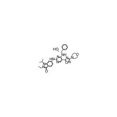 CCn1c(=O)c2ccc(Nc3ncc(-c4nc(N5CCOCC5)no4)c(N[C@H](CO)c4ccccc4)n3)cc2n1C(C)C